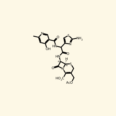 CC(=O)OCC1=C(C(=O)O)N2C(=O)[C@@H](NC(=O)C(NC(=O)c3cnc(C)cc3O)c3csc(N)n3)[C@H]2SC1